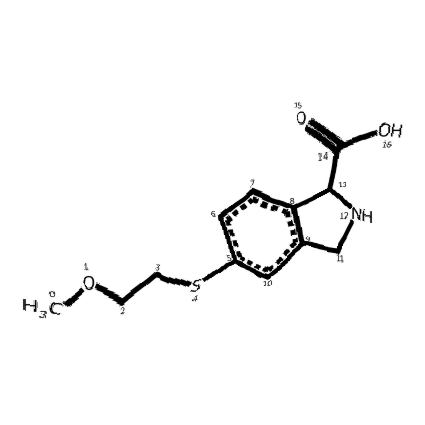 COCCSc1ccc2c(c1)CNC2C(=O)O